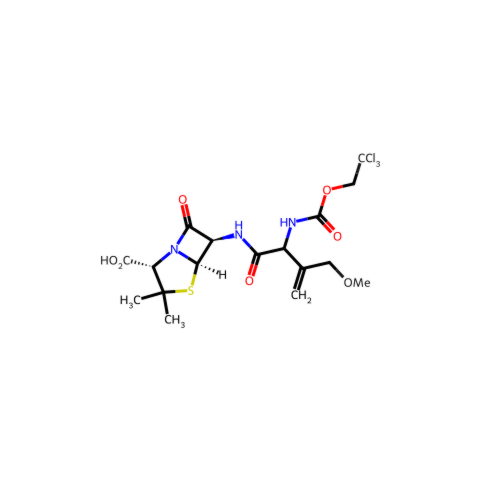 C=C(COC)C(NC(=O)OCC(Cl)(Cl)Cl)C(=O)N[C@@H]1C(=O)N2[C@@H]1SC(C)(C)[C@@H]2C(=O)O